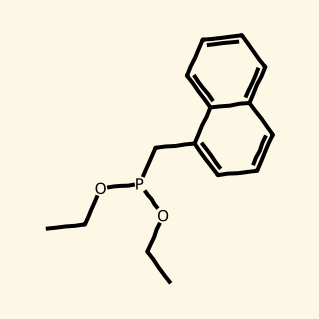 CCOP(Cc1cccc2ccccc12)OCC